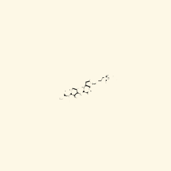 C[Si](C)(C)CCOCn1ccc2nc(Sc3ccnc(NC(=O)O)c3Cl)cnc21